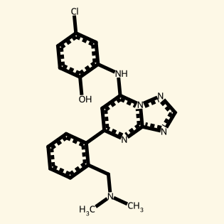 CN(C)Cc1ccccc1-c1cc(Nc2cc(Cl)ccc2O)n2ncnc2n1